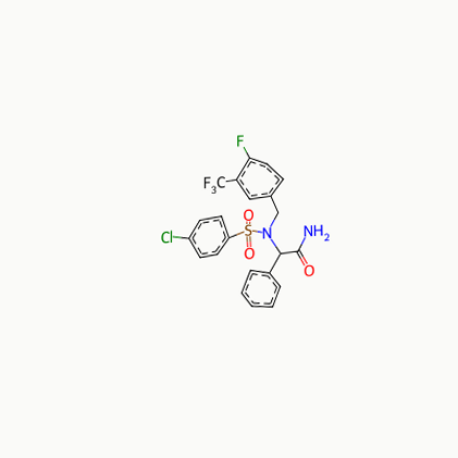 NC(=O)C(c1ccccc1)N(Cc1ccc(F)c(C(F)(F)F)c1)S(=O)(=O)c1ccc(Cl)cc1